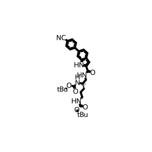 CC(C)(C)OC(=O)NCCC[C@H](CNC(=O)c1cc2ccc(-c3ccc(C#N)cc3)cc2[nH]1)NC(=O)OC(C)(C)C